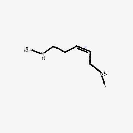 CCC(C)NCC/C=C\CNI